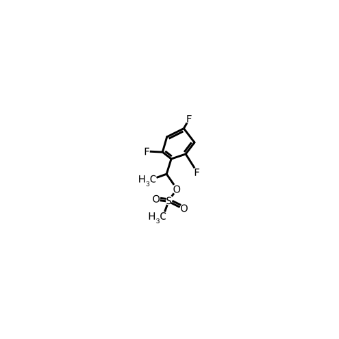 CC(OS(C)(=O)=O)c1c(F)cc(F)cc1F